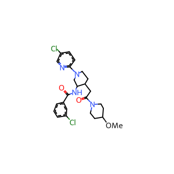 COC1CCN(C(=O)CC2CCN(c3ccc(Cl)cn3)CC2NC(=O)c2cccc(Cl)c2)CC1